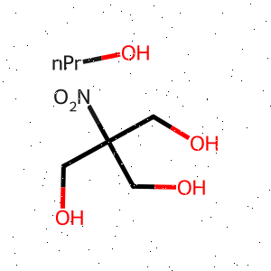 CCCO.O=[N+]([O-])C(CO)(CO)CO